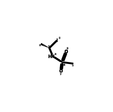 C[C@H](I)NS(C)(=O)=O